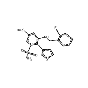 NS(=O)(=O)c1cc(C(=O)O)cc(NCc2ccccc2F)c1-c1ccsc1